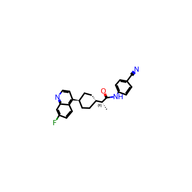 C[C@@H](C(=O)Nc1ccc(C#N)cc1)[C@H]1CC[C@H](c2ccnc3cc(F)ccc32)CC1